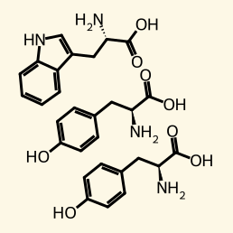 N[C@@H](Cc1c[nH]c2ccccc12)C(=O)O.N[C@@H](Cc1ccc(O)cc1)C(=O)O.N[C@@H](Cc1ccc(O)cc1)C(=O)O